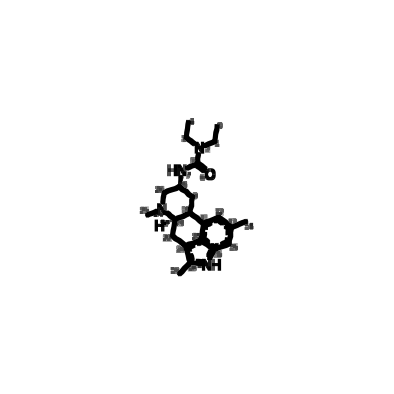 CCN(CC)C(=O)N[C@H]1CC2c3cc(C)cc4[nH]c(C)c(c34)C[C@H]2N(C)C1